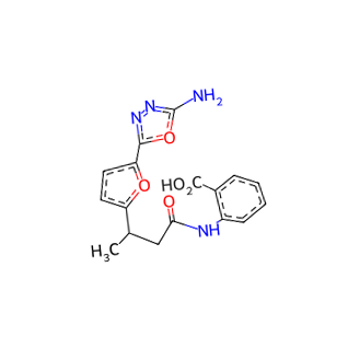 CC(CC(=O)Nc1ccccc1C(=O)O)c1ccc(-c2nnc(N)o2)o1